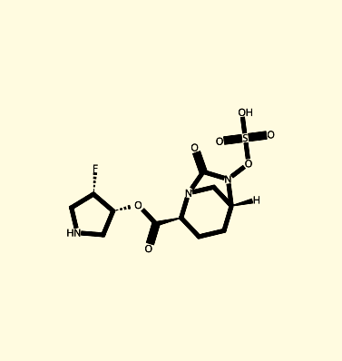 O=C(O[C@@H]1CNC[C@@H]1F)[C@@H]1CC[C@@H]2CN1C(=O)N2OS(=O)(=O)O